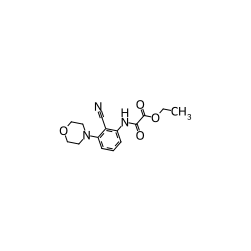 CCOC(=O)C(=O)Nc1cccc(N2CCOCC2)c1C#N